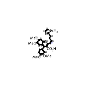 COc1ccc(-c2c(C(=O)O)c(/C=C\CCc3nccn3C)nc3cc(OC)c(OC)cc23)cc1OC